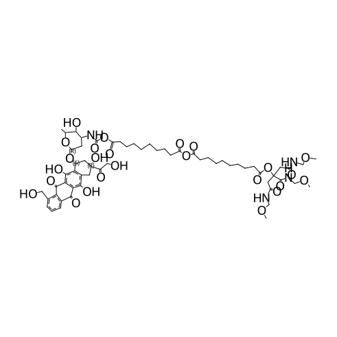 COCNC(=O)CC(CC(=O)NCOC)(OC(=O)CCCCCCCCC(=O)OC(=O)CCCCCCCCC(=O)OC(=O)NC1C[C@H](O[C@H]2C[C@@](O)(C(=O)CO)Cc3c(O)c4c(c(O)c32)C(=O)c2c(CO)cccc2C4=O)OC(C)C1O)C(=O)NCOC